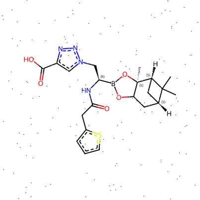 CC1(C)[C@@H]2CC3OB([C@H](Cn4cc(C(=O)O)nn4)NC(=O)Cc4cccs4)O[C@@]3(C)[C@H]1C2